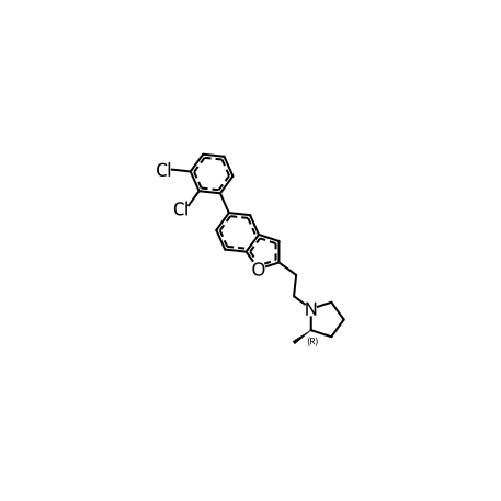 C[C@@H]1CCCN1CCc1cc2cc(-c3cccc(Cl)c3Cl)ccc2o1